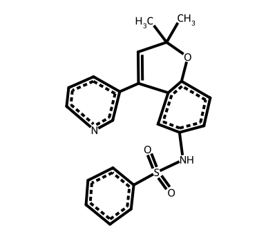 CC1(C)C=C(c2cccnc2)c2cc(NS(=O)(=O)c3ccccc3)ccc2O1